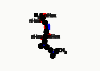 CCCCCCOc1cc(-c2ccc(-c3nnc(-c4ccc(-c5cc(OCCCCCC)c(-c6ccc(N(c7ccccc7)c7ccc(-c8ccc(N(c9ccccc9)c9ccc(C)cc9)cc8)cc7)cc6)cc5OCCCCCC)cc4)o3)cc2)c(OCCCCCC)cc1C